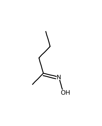 CCCC(C)=NO